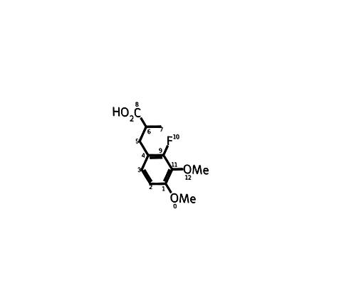 COc1ccc(CC(C)C(=O)O)c(F)c1OC